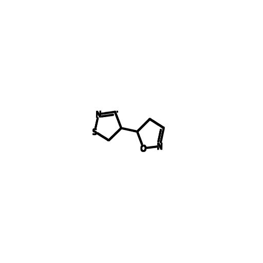 [C]1=NSCC1C1CC=NO1